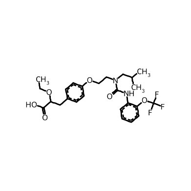 CCOC(Cc1ccc(OCCN(CC(C)C)C(=O)Nc2ccccc2OC(F)(F)F)cc1)C(=O)O